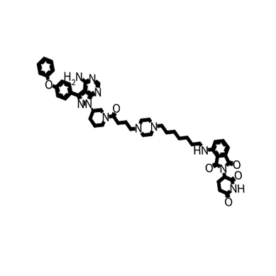 Nc1ncnc2c1c(-c1ccc(Oc3ccccc3)cc1)nn2[C@@H]1CCCN(C(=O)CCCN2CCN(CCCCCCCNc3cccc4c3C(=O)N(C3CCC(=O)NC3=O)C4=O)CC2)C1